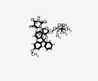 COc1ccc(C(O[C@H]2[C@H](Cl)[C@H](n3cc(F)c(=O)[nH]c3=O)O[C@@H]2CO[Si](C)(C)C(C)(C)C)(c2ccccc2)c2ccccc2)cc1